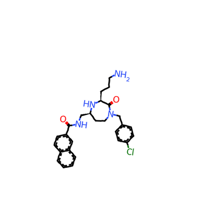 NCCC[C@@H]1N[C@H](CNC(=O)c2ccc3ccccc3c2)CCN(Cc2ccc(Cl)cc2)C1=O